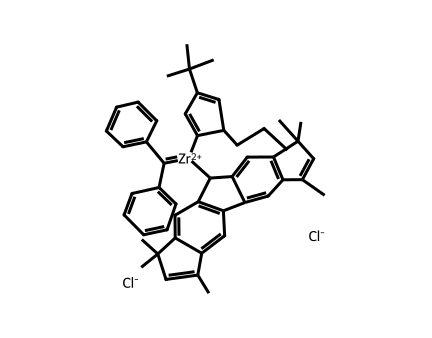 CCCC1C=C(C(C)(C)C)C=[C]1[Zr+2](=[C](c1ccccc1)c1ccccc1)[CH]1c2cc3c(cc2-c2cc4c(cc21)C(C)(C)C=C4C)C(C)=CC3(C)C.[Cl-].[Cl-]